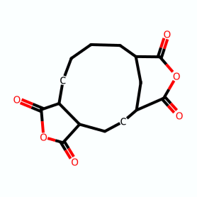 O=C1OC(=O)C2CCC3C(=O)OC(=O)C3CCCCC1C2